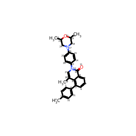 Cc1ccc(-c2cccc3c(=O)n(-c4ccc(N5CC(C)OC(C)C5)cc4)cc(C)c23)cc1